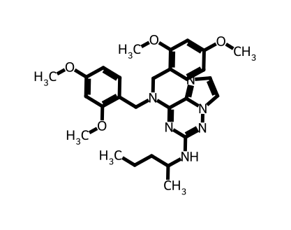 CCCC(C)Nc1nc(N(Cc2ccc(OC)cc2OC)Cc2ccc(OC)cc2OC)c2nccn2n1